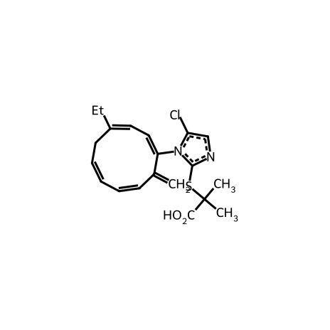 C=C1/C=C\C=C/C/C(CC)=C\C=C/1n1c(Cl)cnc1SC(C)(C)C(=O)O